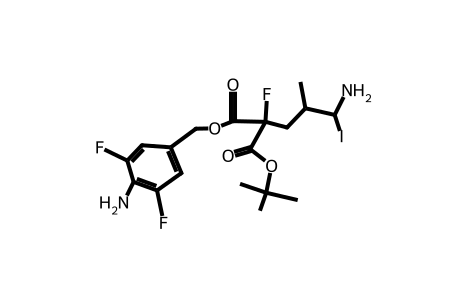 CC(CC(F)(C(=O)OCc1cc(F)c(N)c(F)c1)C(=O)OC(C)(C)C)C(N)I